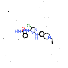 C#CCN1CCc2ccc(Nc3ncc(Cl)c(Nc4ccccc4C(=O)NC)n3)cc2CC1